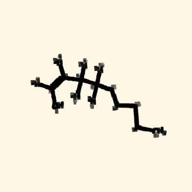 [2H]C(O)=C([2H])C([2H])([2H])C([2H])([2H])CCCCC